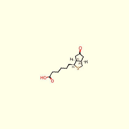 O=C(O)CCCCC[C@@H]1SC[C@@H]2CC(=O)C[C@@H]21